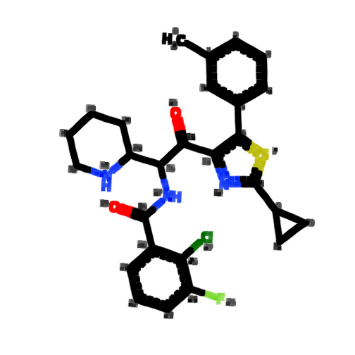 Cc1cccc(-c2sc(C3CC3)nc2C(=O)C(NC(=O)c2cccc(F)c2Cl)C2CCCCN2)c1